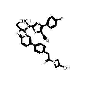 CCc1nc2ccc(-c3ccc(CC(=O)N4CC(O)C4)cc3)cn2c1N(C)c1nc(-c2ccc(F)cc2)c(C#N)s1